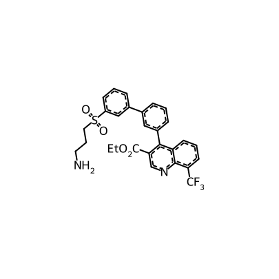 CCOC(=O)c1cnc2c(C(F)(F)F)cccc2c1-c1cccc(-c2cccc(S(=O)(=O)CCCN)c2)c1